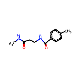 CNC(=O)CCNC(=O)c1ccc(C)cc1